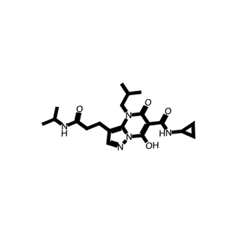 CC(C)Cn1c(=O)c(C(=O)NC2CC2)c(O)n2ncc(CCC(=O)NC(C)C)c12